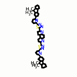 CC1(C)c2ccccc2-c2ccc(-c3cccc(-c4nnc(-c5ccc6c(ccc7nc(-c8nnc(-c9cccc(-c%10ccc%11c(c%10)C(C)(C)c%10ccccc%10-%11)n9)s8)ccc76)n5)s4)n3)cc21